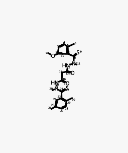 COc1ccc(C)c(C(=S)N(C)NC(=O)CC(=O)NN(C)C(=S)c2cc(C)ccc2C)c1